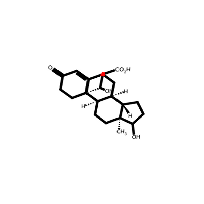 C[C@]12CC[C@@H]3[C@@H](CCC4=CC(=O)CC[C@@]43C(O)CC(=O)O)[C@@H]1CCC2O